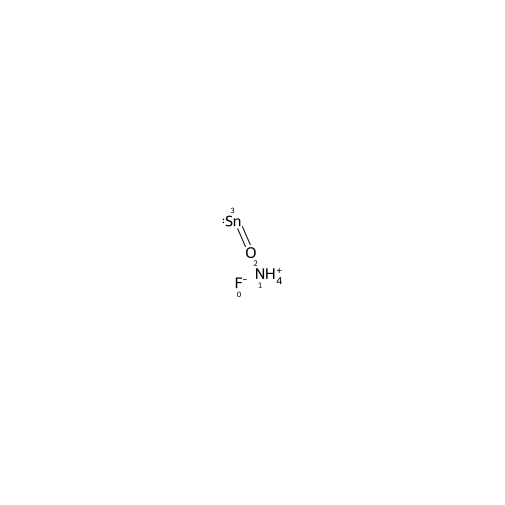 [F-].[NH4+].[O]=[Sn]